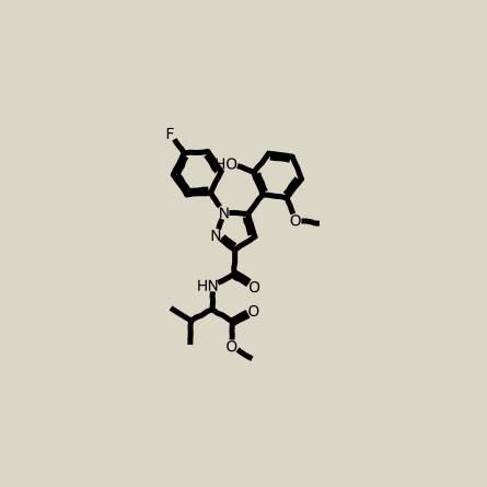 COC(=O)C(NC(=O)c1cc(-c2c(O)cccc2OC)n(C2=C=C=C(F)C=C2)n1)C(C)C